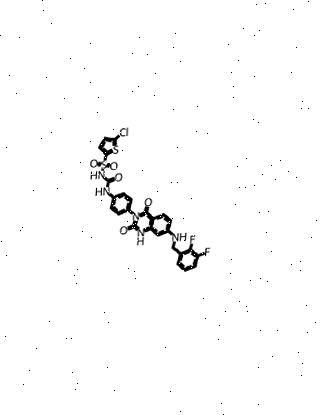 O=C(Nc1ccc(-n2c(=O)[nH]c3cc(NCc4cccc(F)c4F)ccc3c2=O)cc1)NS(=O)(=O)c1ccc(Cl)s1